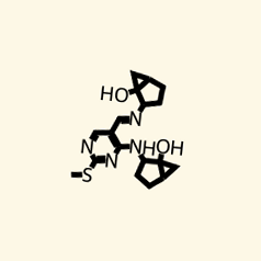 CSc1ncc(C=NC2CCC3CC32O)c(NC2CCC3CC32O)n1